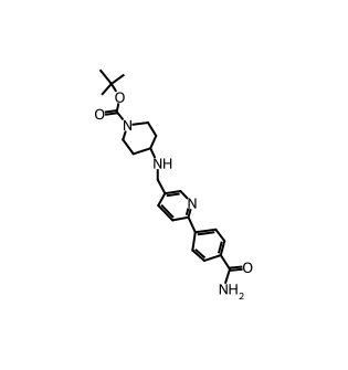 CC(C)(C)OC(=O)N1CCC(NCc2ccc(-c3ccc(C(N)=O)cc3)nc2)CC1